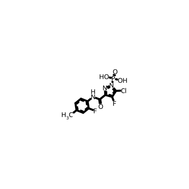 Cc1ccc(NC(=O)c2nn(P(=O)(O)O)c(Cl)c2F)c(F)c1